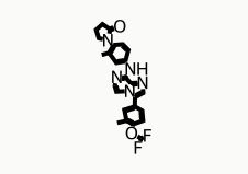 Cc1cc(-c2cnc3c(Nc4ccc(N5CCCC5=O)c(C)c4)nccn23)ccc1OC(F)F